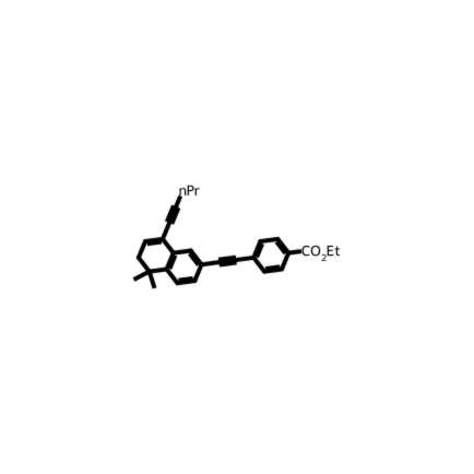 CCCC#CC1=CCC(C)(C)c2ccc(C#Cc3ccc(C(=O)OCC)cc3)cc21